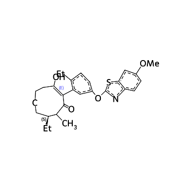 CCc1ccc(Oc2nc3ccc(OC)cc3s2)cc1/C1=C(\O)CCCC[C@H](CC)C(C)C1=O